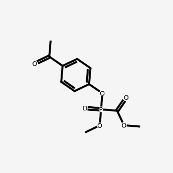 COC(=O)P(=O)(OC)Oc1ccc(C(C)=O)cc1